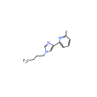 Cc1cccc(-c2cn(CCCC(F)(F)F)cn2)n1